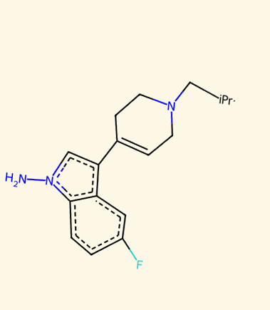 C[C](C)CN1CC=C(c2cn(N)c3ccc(F)cc23)CC1